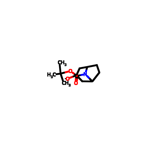 CC(C)(C)OC(=O)N1C2CCC1CC([O])C2